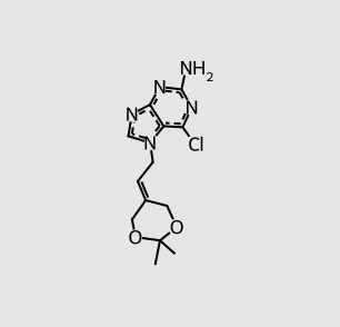 CC1(C)OCC(=CCn2cnc3nc(N)nc(Cl)c32)CO1